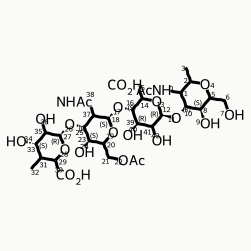 CC(=O)NC1C(C)OC(CO)[C@@H](O)[C@@H]1O[C@@H]1OC(C(=O)O)[C@@H](O[C@@H]2OC(COC(C)=O)[C@@H](O)[C@H](O[C@@H]3OC(C(=O)O)C(C)[C@H](O)C3O)C2NC(C)=O)[C@H](O)C1O